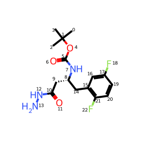 CC(C)(C)OC(=O)N[C@@H](CC(=O)NN)Cc1cc(F)ccc1F